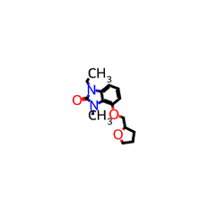 CCn1c(=O)n(C)c2c(OCC3CCCO3)cccc21